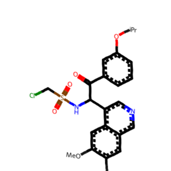 COc1cc2cncc(C(NS(=O)(=O)CCl)C(=O)c3cccc(OC(C)C)c3)c2cc1OC